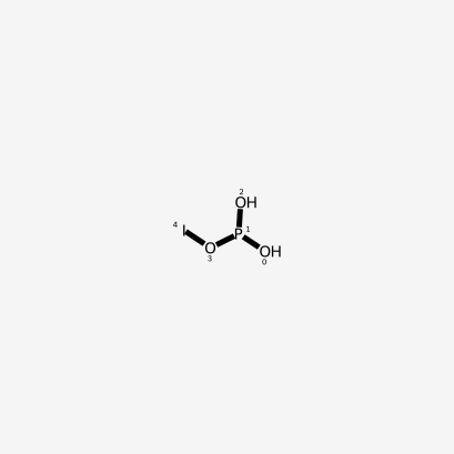 OP(O)OI